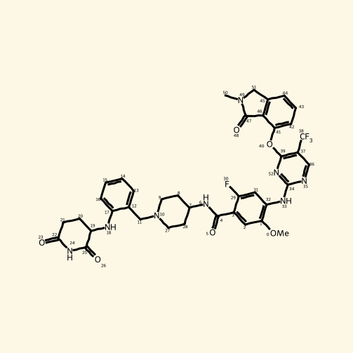 COc1cc(C(=O)NC2CCN(Cc3ccccc3NC3CCC(=O)NC3=O)CC2)c(F)cc1Nc1ncc(C(F)(F)F)c(Oc2cccc3c2C(=O)N(C)C3)n1